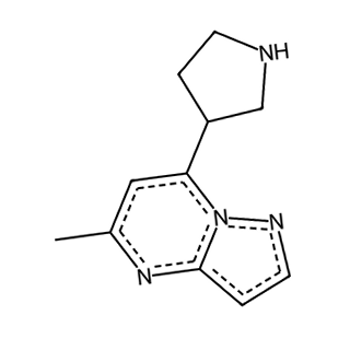 Cc1cc(C2CCNC2)n2nccc2n1